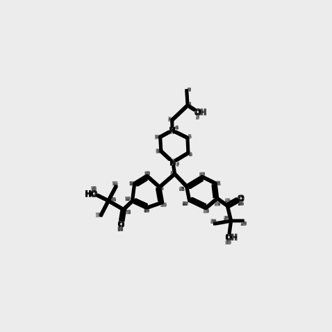 CC(O)CN1CCN(C(c2ccc(C(=O)C(C)(C)O)cc2)c2ccc(C(=O)C(C)(C)O)cc2)CC1